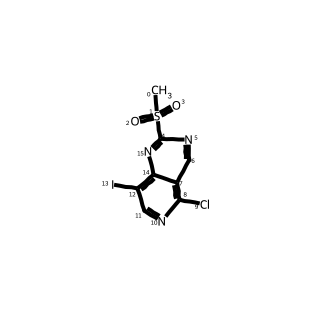 CS(=O)(=O)c1ncc2c(Cl)ncc(I)c2n1